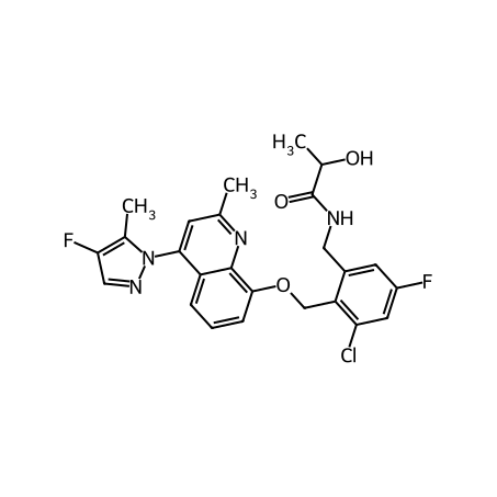 Cc1cc(-n2ncc(F)c2C)c2cccc(OCc3c(Cl)cc(F)cc3CNC(=O)C(C)O)c2n1